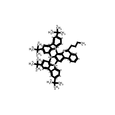 CCCCc1nc2c3c4c(cc2c2ccccc12)-n1c2ccc(C(C)(C)C)cc2c2cc(C(C)(C)C)cc(c21)B4c1cc(C(C)(C)C)cc2c4cc(C(C)(C)C)ccc4n-3c12